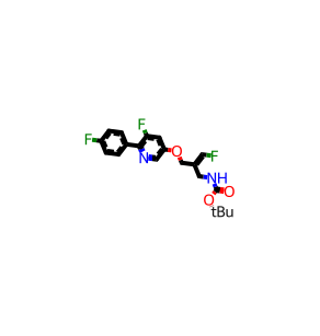 CC(C)(C)OC(=O)NCC(=CF)COc1cnc(-c2ccc(F)cc2)c(F)c1